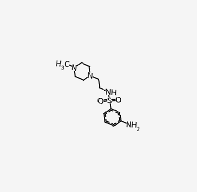 CN1CCN(CCNS(=O)(=O)c2cccc(N)c2)CC1